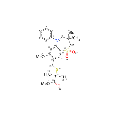 CCCCC1(C)CN(c2ccccc2)c2cc(OC)c(CSC(C)(C)C(=O)OC)cc2S(=O)(=O)C1